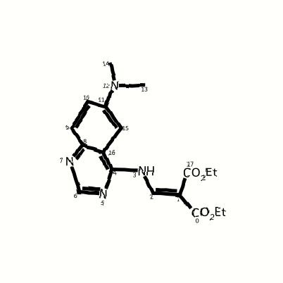 CCOC(=O)C(=CNc1ncnc2ccc(N(C)C)cc12)C(=O)OCC